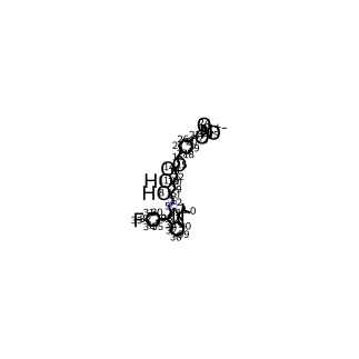 CC(C)n1c(/C=C/[C@@H](O)C[C@@H](O)CC(=O)OCc2ccc(CO[N+](=O)[O-])cc2)c(-c2ccc(F)cc2)c2ccccc21